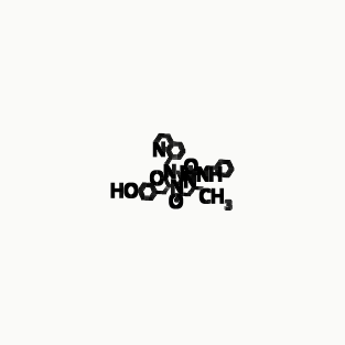 CCC1CC(=O)N2[C@H](CN(Cc3cccc4cccnc34)C(=O)[C@@H]2Cc2ccc(O)cc2)N1C(=O)NCc1ccccc1